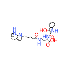 O=C(CCCCc1ccc2c(n1)NCCC2)NCCC(NC(=O)c1[nH]c2ccccc2c1O)C(=O)O